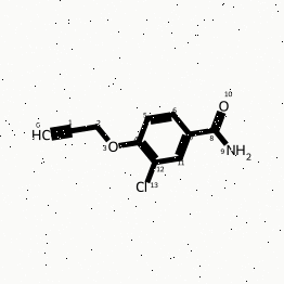 C#CCOc1ccc(C(N)=O)cc1Cl